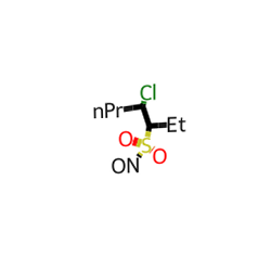 CCCC(Cl)C(CC)S(=O)(=O)N=O